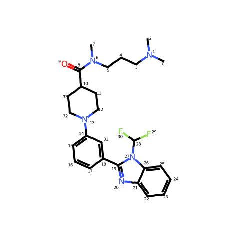 CN(C)CCCN(C)C(=O)C1CCN(c2cccc(-c3nc4ccccc4n3C(F)F)c2)CC1